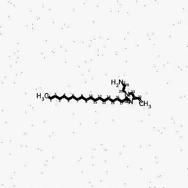 CCCCCCCCCCCCCCCCCCC1=NC(CC)CN1CCN